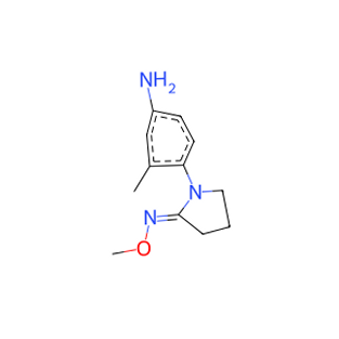 CON=C1CCCN1c1ccc(N)cc1C